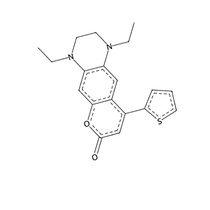 CCN1CCN(CC)c2cc3c(-c4cccs4)cc(=O)oc3cc21